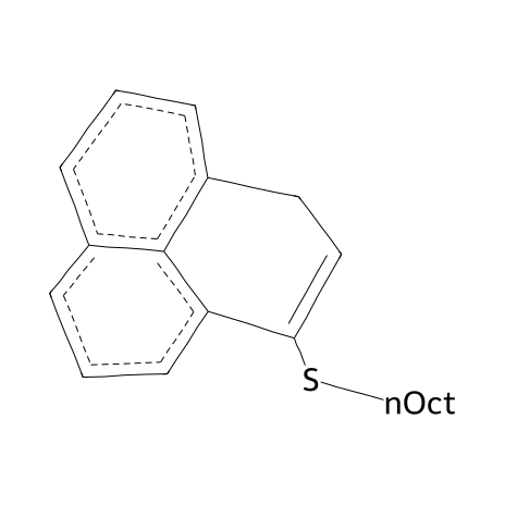 CCCCCCCCSC1=CCc2cccc3cccc1c23